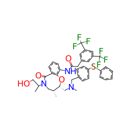 CC(CO)N1C[C@@H](C)[C@@H](CN(C)Cc2ccc(Sc3ccccc3)cc2)Oc2c(NC(=O)Cc3cc(C(F)(F)F)cc(C(F)(F)F)c3)cccc2C1=O